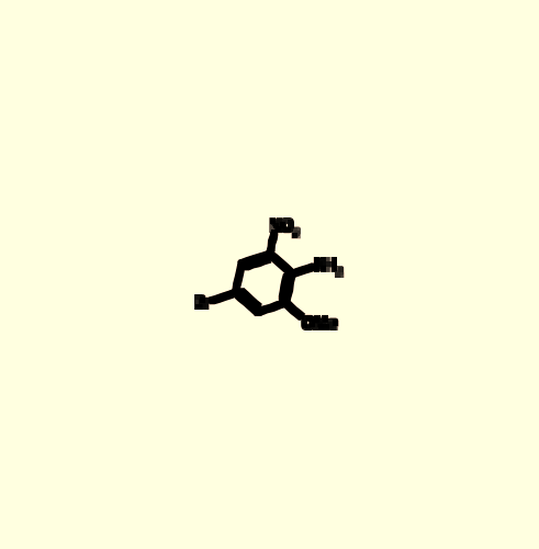 COc1cc(Br)cc([N+](=O)[O-])c1N